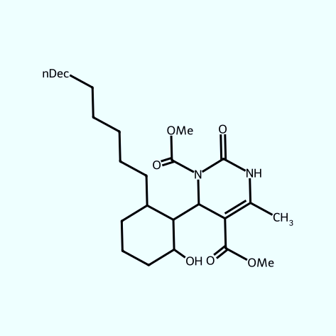 CCCCCCCCCCCCCCCC1CCCC(O)C1C1C(C(=O)OC)=C(C)NC(=O)N1C(=O)OC